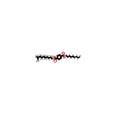 CCCCCCCCCOC(=O)C1CCC(C(=O)OCCCCCCCCC(C)C)CC1